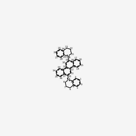 c1ccc2c(c1)CCCN2c1cc2c3ccccc3c(N3CCCc4ccccc43)cc2c2ccccc12